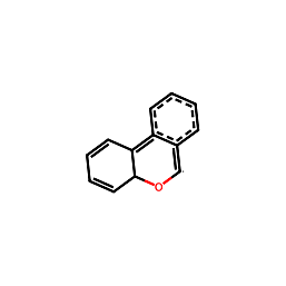 [C]1=c2ccccc2=C2C=CC=CC2O1